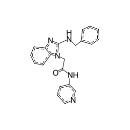 O=C(Cn1c(NCc2ccccc2)nc2ccccc21)Nc1cccnc1